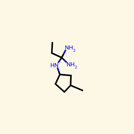 CCC(N)(N)NC1CCC(C)C1